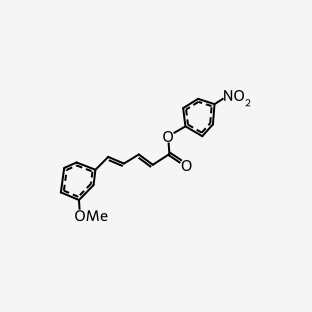 COc1cccc(C=CC=CC(=O)Oc2ccc([N+](=O)[O-])cc2)c1